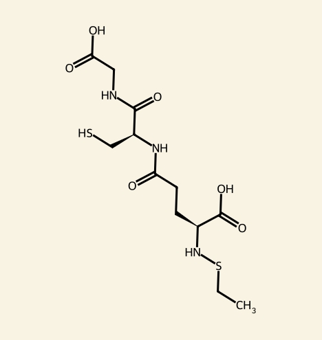 CCSN[C@@H](CCC(=O)N[C@@H](CS)C(=O)NCC(=O)O)C(=O)O